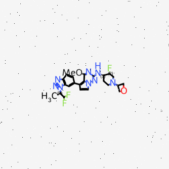 COc1nc(N[C@H]2CCN(C3COC3)C[C@H]2F)nn2ccc(-c3ccc4nnn([C@H](C)C(F)F)c4c3)c12